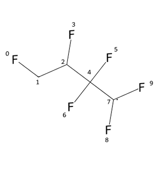 FCC(F)C(F)(F)[C](F)F